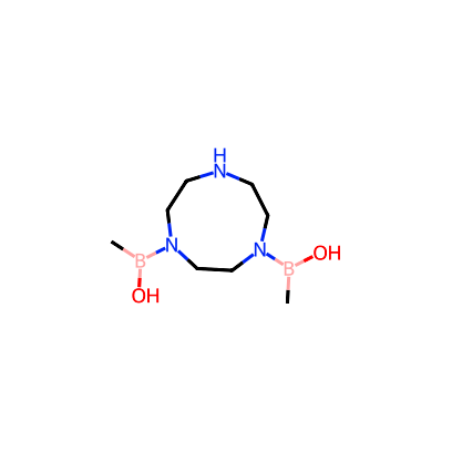 CB(O)N1CCNCCN(B(C)O)CC1